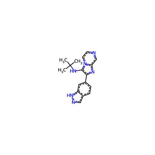 CC(C)(C)Nc1c(-c2ccc3cn[nH]c3c2)nc2cnccn12